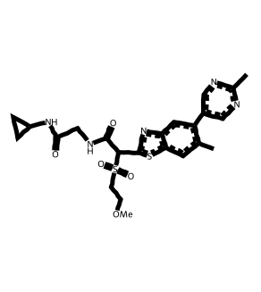 COCCS(=O)(=O)C(C(=O)NCC(=O)NC1CC1)c1nc2cc(-c3cnc(C)nc3)c(C)cc2s1